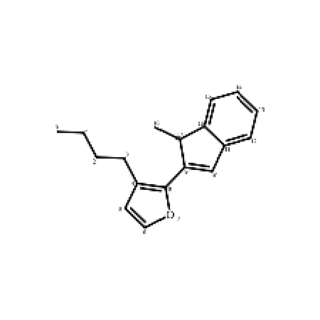 CCCCc1ccoc1C1=Cc2ccccc2[C]1C